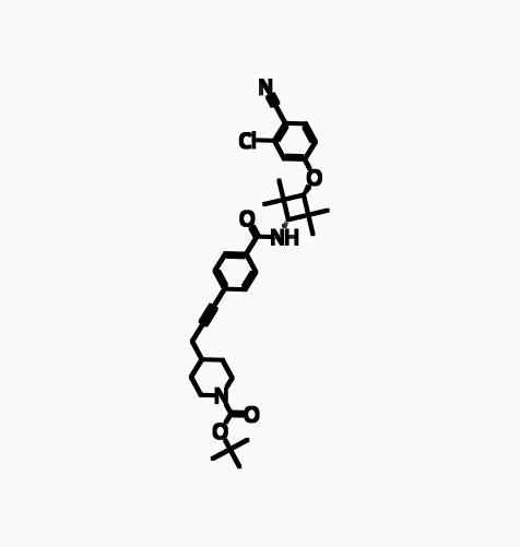 CC(C)(C)OC(=O)N1CCC(CC#Cc2ccc(C(=O)N[C@H]3C(C)(C)[C@H](Oc4ccc(C#N)c(Cl)c4)C3(C)C)cc2)CC1